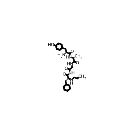 C=CCN[C@@H](Cc1ccccc1)C(=O)NC(=O)CNC(=O)[C@@H](C)NC(=O)[C@@H](N)Cc1ccc(O)cc1